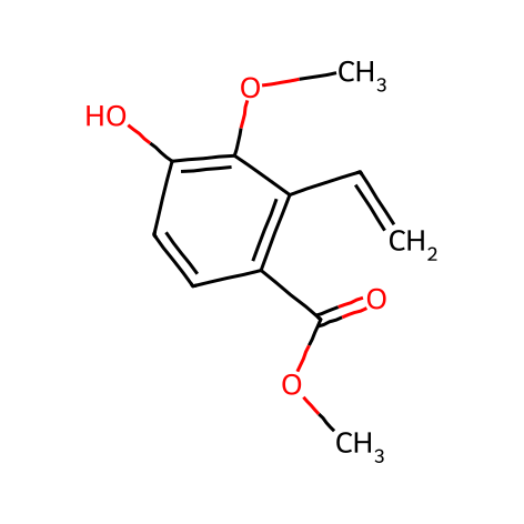 C=Cc1c(C(=O)OC)ccc(O)c1OC